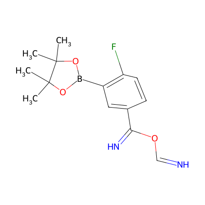 CC1(C)OB(c2cc(C(=N)OC=N)ccc2F)OC1(C)C